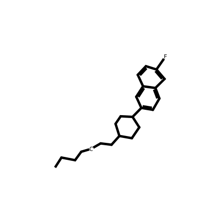 CCCCCCCC1CCC(c2ccc3cc(F)ccc3c2)CC1